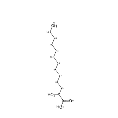 O=C(O)C(O)CCCCCCCCCCO